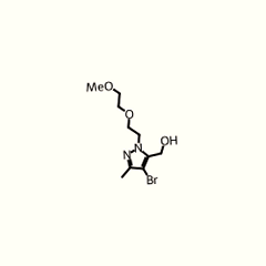 COCCOCCn1nc(C)c(Br)c1CO